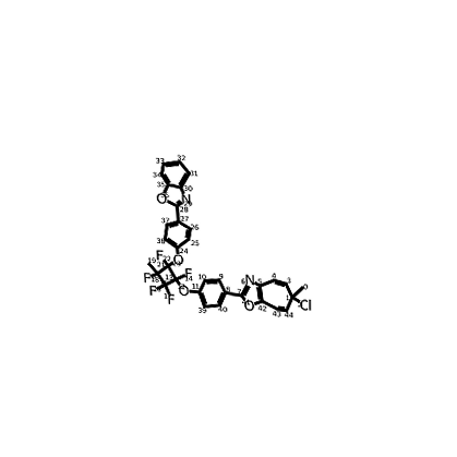 CC1(Cl)C=Cc2nc(-c3ccc(OC4(F)C(F)(F)C(C)(F)C4(F)Oc4ccc(-c5nc6ccccc6o5)cc4)cc3)oc2C=C1